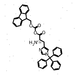 N[C@@H](Cc1cn(C(c2ccccc2)(c2ccccc2)c2ccccc2)cn1)C(=O)OC(=O)OCC1c2ccccc2-c2ccccc21